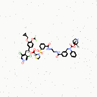 O=C(NCCNC(=O)c1cccc(S(=O)(=O)N2CCS[C@H]2C(=O)O[C@@H](Cc2c(Cl)c[n+]([O-])cc2Cl)c2ccc(OC(F)F)c(OCC3CC3)c2)c1)c1cccc(CN(C(=O)O[C@H]2CN3CCC2CC3)c2ccccc2)c1